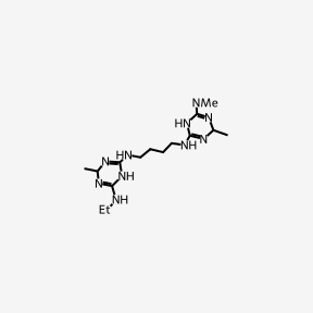 CCNC1=NC(C)N=C(NCCCCNC2=NC(C)N=C(NC)N2)N1